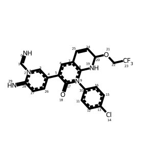 N=Cn1cc(-c2cc3c(n(-c4ccc(Cl)cc4)c2=O)NC(OCC(F)(F)F)C=C3)ccc1=N